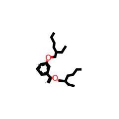 [CH]=C(OCC(CC)CCCC)c1cc[c]c(OCC(CC)CCCC)c1